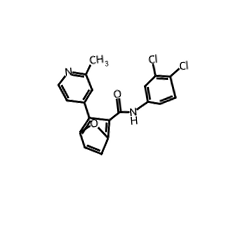 Cc1cc(-c2c(C(=O)Nc3ccc(Cl)c(Cl)c3)c3ccc2o3)ccn1